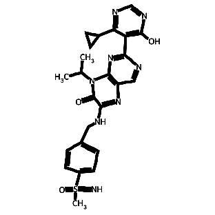 CC(C)n1c(=O)c(NCc2ccc(S(C)(=N)=O)cc2)nc2cnc(-c3c(O)ncnc3C3CC3)nc21